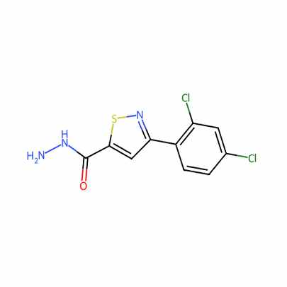 NNC(=O)c1cc(-c2ccc(Cl)cc2Cl)ns1